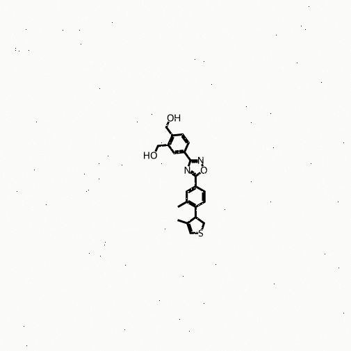 CC1=CSCC1c1ccc(-c2nc(-c3ccc(CO)c(CO)c3)no2)cc1C